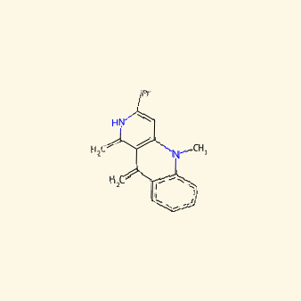 C=C1NC(C(C)C)=CC2=C1C(=C)c1ccccc1N2C